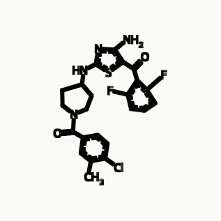 Cc1cc(C(=O)N2CCC(Nc3nc(N)c(C(=O)c4c(F)cccc4F)s3)CC2)ccc1Cl